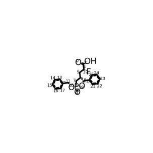 O=C(O)[C@H](F)CCCP(=O)(OCc1ccccc1)OCc1ccccc1